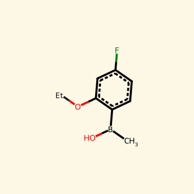 CCOc1cc(F)ccc1B(C)O